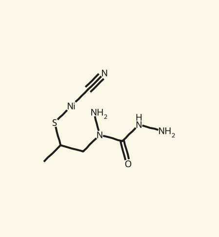 CC(CN(N)C(=O)NN)[S][Ni][C]#N